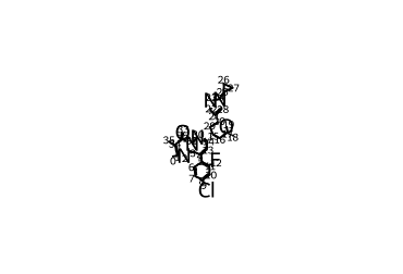 Cc1nc2c(-c3ccc(Cl)cc3F)cc([C@H]3C[C@H](C)O[C@@H](c4cnn(C5CC5)c4)C3)nn2c(=O)c1C